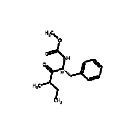 CCC(C)C(=O)[C@@H](Cc1ccccc1)NC(=O)OC